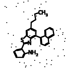 CCCCc1cc(-c2cccc3ccccc23)c2nc(-c3ccccc3N)sc2c1